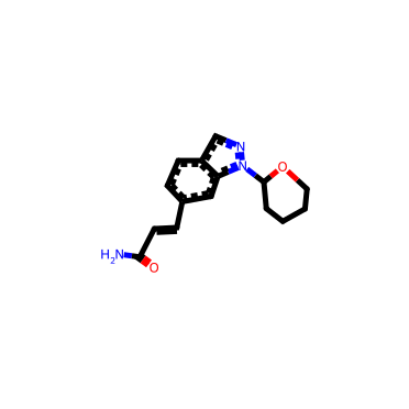 NC(=O)C=Cc1ccc2cnn(C3CCCCO3)c2c1